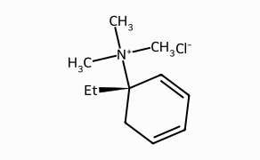 CC[C@@]1([N+](C)(C)C)C=CC=CC1.[Cl-]